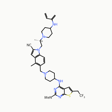 C=CC(=C)NC1CCN([C@@H](C)Cn2c(C#N)cc3c(C)c(CN4CCC(Nc5nc(NC)nc6sc(CC(F)(F)F)cc56)CC4)ccc32)CC1